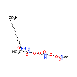 CC(=O)CNC(=O)COCCOCCNC(=O)COCCOCCNC(=O)CC[C@H](NC(=O)CCCCCCCCCCCCCCCCC(=O)O)C(=O)O